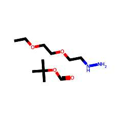 CC(C)(C)OC=O.CCOCCOCCNN